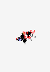 CC(=O)c1ccccc1.CC(Cc1ccc(CS(=O)(=O)O)cc1)N1CCOCC1.Cc1c(C(=O)O)cccc1C(=O)O